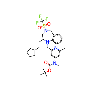 Cc1cc(N(C)C(=O)OC(C)(C)C)cc(CN2c3ccccc3CN(S(=O)(=O)C(F)(F)F)CC2CCC2CCCC2)n1